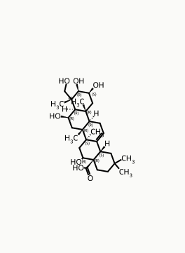 CC1(C)CC[C@]2(C(=O)O)[C@H](O)C[C@]3(C)C(=CC[C@@H]4[C@@]5(C)C[C@H](O)[C@H](O)[C@@](C)(CO)[C@@H]5[C@H](O)C[C@]43C)[C@@H]2C1